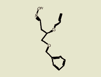 C=CCOC(CC=NO)COCc1ccccc1